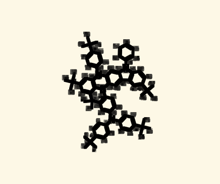 CC(C)(C)c1ccc(N(c2ccc(C(C)(C)C)cc2)c2ccc3c(c2)C(C)(C)c2cc(C(C)(C)C)cc4c2B3c2cc3c5cc(C(C)(C)C)ccc5n(-c5ccccc5)c3cc2N4c2ccc(C(C)(C)C)cc2)cc1